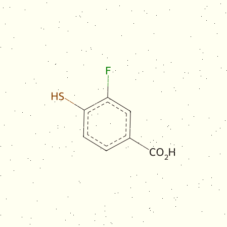 O=C(O)c1ccc(S)c(F)c1